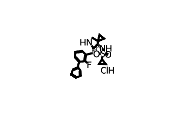 Cl.O=S(=O)(N[C@@H]1[C@H](Cc2cccc(-c3ccccc3)c2F)NCC12CC2)C1CC1